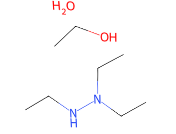 CCNN(CC)CC.CCO.O